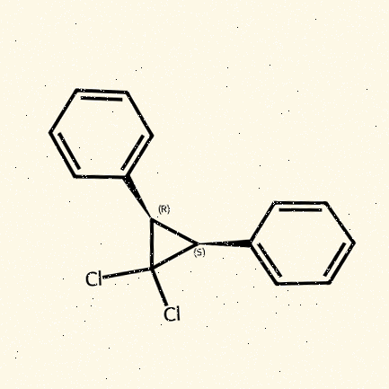 ClC1(Cl)[C@H](c2ccccc2)[C@@H]1c1ccccc1